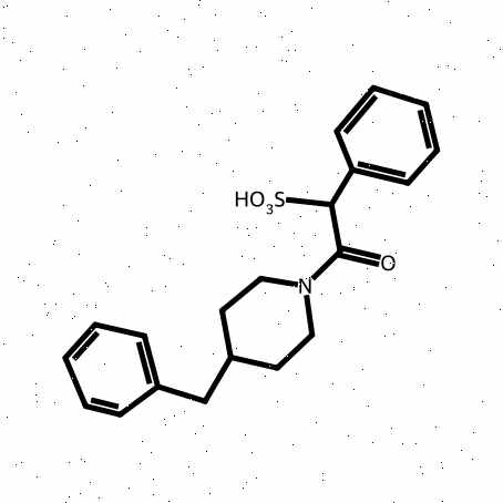 O=C(C(c1ccccc1)S(=O)(=O)O)N1CCC(Cc2ccccc2)CC1